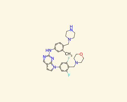 Cc1cc(Nc2ncc3ccn(-c4cc(F)c(CN5CCOCC5)c(F)c4)c3n2)ccc1CN1CCNCC1